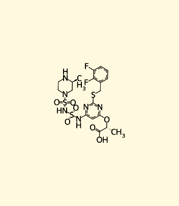 C[C@H]1CN(S(=O)(=O)NS(=O)(=O)Nc2cc(O[C@H](C)C(=O)O)nc(SCc3cccc(F)c3F)n2)CCN1